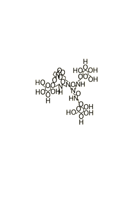 O=C(CN(CCCC(=O)ON1C(=O)CCC1=O)CCN(CC(=O)NCCO[C@H]1O[C@H](CO)[C@@H](O)[C@H](O)[C@@H]1O)CC(=O)NCCO[C@H]1O[C@H](CO)[C@@H](O)[C@H](O)[C@@H]1O)NCCO[C@H]1O[C@H](CO)[C@@H](O)[C@H](O)[C@@H]1O